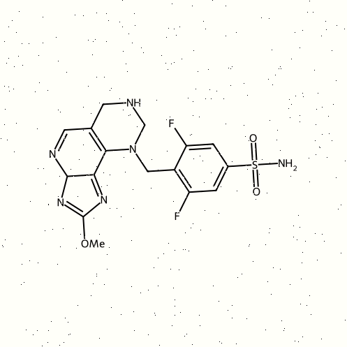 COC1=NC2N=CC3=C(C2=N1)N(Cc1c(F)cc(S(N)(=O)=O)cc1F)CNC3